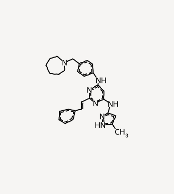 Cc1cc(Nc2cc(Nc3ccc(CN4CCCCCC4)cc3)nc(/C=C/c3ccccc3)n2)n[nH]1